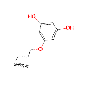 CCCCCCCCCCOc1cc(O)cc(O)c1